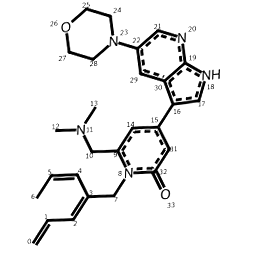 C=C/C=C(\C=C/C)Cn1c(CN(C)C)cc(-c2c[nH]c3ncc(N4CCOCC4)cc23)cc1=O